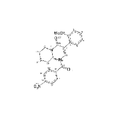 COc1ccccc1C(=CNC(=O)c1ccc([N+](=O)[O-])cc1)C(=O)N1CCSCC1